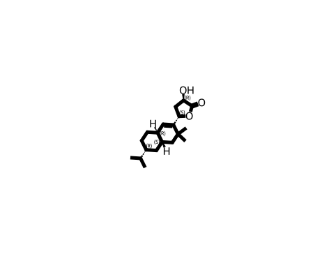 CC(C)[C@@H]1CC[C@H]2C=C([C@@H]3C[C@@H](O)C(=O)O3)C(C)(C)C[C@@H]2C1